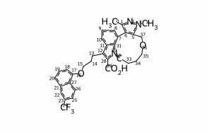 Cc1nn(C)c2c1-c1cccc3c(CCCOc4cccc5cc(C(F)(F)F)ccc45)c(C(=O)O)n(c13)CCCCOC2